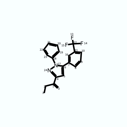 C=C(CC)c1cc(-c2cccc(C(F)(F)F)c2)n(-c2ccccc2)n1